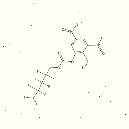 O=C(OCC(F)(F)C(F)(F)C(F)(F)C(F)F)Oc1cc([N+](=O)[O-])cc([N+](=O)[O-])c1CBr